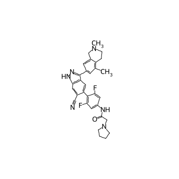 Cc1cc(-c2n[nH]c3cc(C#N)c(-c4c(F)cc(NC(=O)CN5CCCC5)cc4F)cc23)cc2c1CCN(C)C2